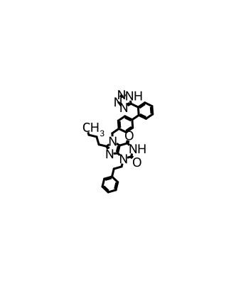 CCCCc1nc2c(c(=O)[nH]c(=O)n2CCc2ccccc2)n1Cc1ccc(-c2ccccc2-c2nnn[nH]2)cc1